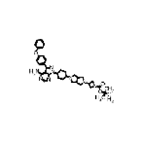 CC(C)(C)OC(=O)N1CC(N2CC3CN(C4CCC(n5nc(-c6ccc(Oc7ccccc7)cc6)c6c(N)ncnc65)CC4)CC3C2)C1